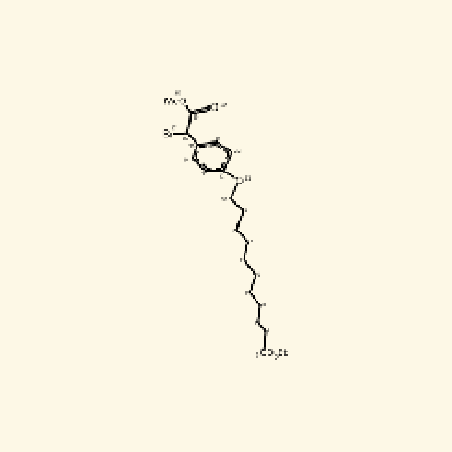 CCOC(=O)CCCCCCCCCCOc1ccc(C(Br)C(=O)OC)cc1